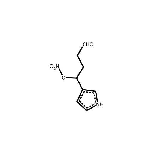 O=CCCC(O[N+](=O)[O-])c1cc[nH]c1